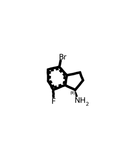 N[C@@H]1CCc2c(Br)ccc(F)c21